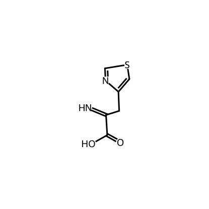 N=C(Cc1cscn1)C(=O)O